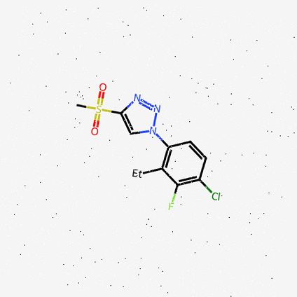 CCc1c(-n2cc(S(C)(=O)=O)nn2)ccc(Cl)c1F